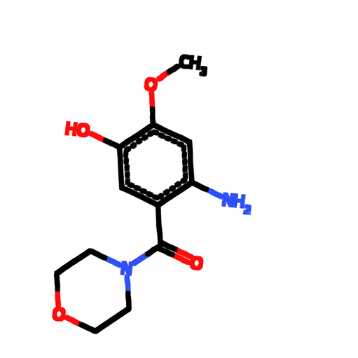 COc1cc(N)c(C(=O)N2CCOCC2)cc1O